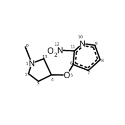 CN1CCC(Oc2cccnc2[N+](=O)[O-])C1